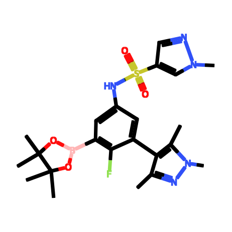 Cc1nn(C)c(C)c1-c1cc(NS(=O)(=O)c2cnn(C)c2)cc(B2OC(C)(C)C(C)(C)O2)c1F